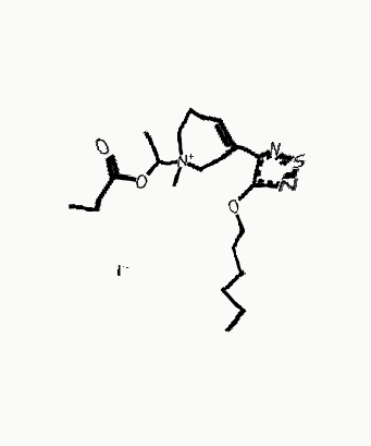 CCCCCCOc1nsnc1C1=CCC[N+](C)(C(C)OC(=O)CC)C1.[I-]